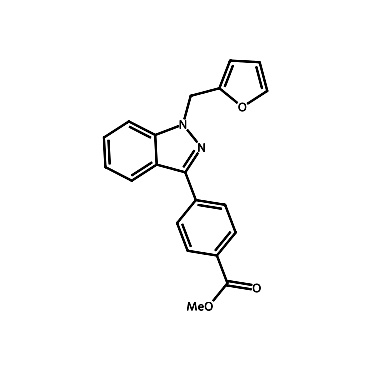 COC(=O)c1ccc(-c2nn(Cc3ccco3)c3ccccc23)cc1